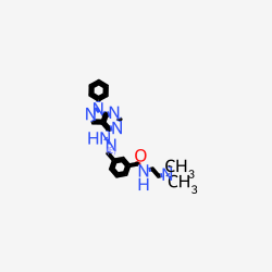 CN(C)CCNC(=O)c1cccc(/C=N/Nc2ncnc3c2cnn3-c2ccccc2)c1